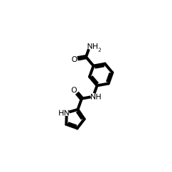 NC(=O)c1cccc(NC(=O)c2ccc[nH]2)c1